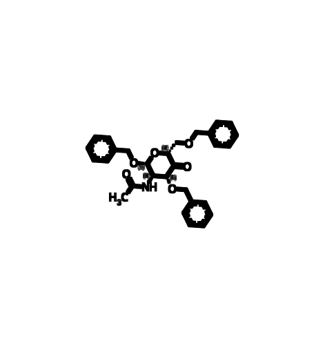 CC(=O)N[C@H]1[C@@H](OCc2ccccc2)O[C@H](COCc2ccccc2)C(=O)[C@@H]1OCc1ccccc1